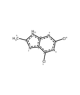 Cc1nc2c(Cl)nc(Cl)nc2[nH]1